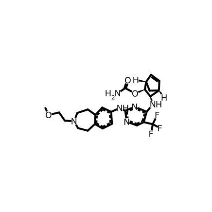 COCCN1CCc2ccc(Nc3ncc(C(F)(F)F)c(N[C@H]4[C@@H](OC(N)=O)[C@@H]5C=C[C@H]4C5)n3)cc2CC1